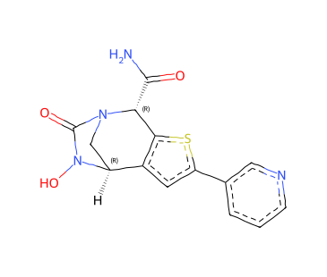 NC(=O)[C@@H]1c2sc(-c3cccnc3)cc2[C@@H]2CN1C(=O)N2O